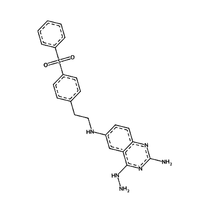 NNc1nc(N)nc2ccc(NCCc3ccc(S(=O)(=O)c4ccccc4)cc3)cc12